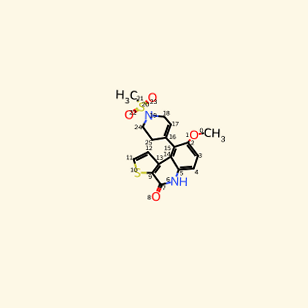 COc1ccc2[nH]c(=O)c3sccc3c2c1C1=CCN(S(C)(=O)=O)CC1